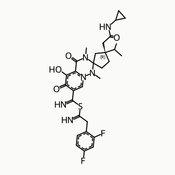 CC(C)[C@]1(CC(=O)NC2CC2)CCC2(C1)N(C)C(=O)c1c(O)c(=O)c(C(=N)SC(=N)Cc3ccc(F)cc3F)cn1N2C